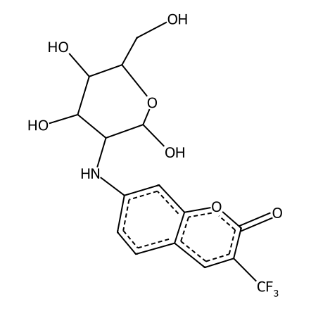 O=c1oc2cc(NC3C(O)OC(CO)C(O)C3O)ccc2cc1C(F)(F)F